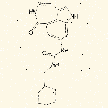 O=C(NCC1CCCCC1)Nc1cc2c3c(c[nH]c3c1)C=NNC2=O